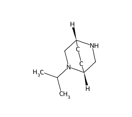 CC(C)N1C[C@H]2CC[C@@H]1CN2